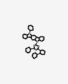 c1ccc(-c2nc(-c3ccccc3-c3ccccc3)nc(-n3c4ccccc4c4cc5c(cc43)c3ccccc3n5-c3ccccc3)n2)cc1